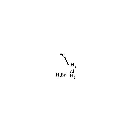 [AlH3].[BaH2].[SiH3][Fe]